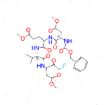 COC(=O)CCC(NC(=O)[C@H](CC(=O)OC)NC(=O)OCc1ccccc1)C(=O)N[C@H](C(=O)NC(CC(=O)OC)C(=O)CF)C(C)C